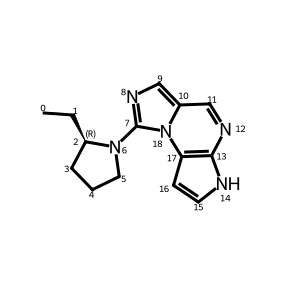 CC[C@@H]1CCCN1c1ncc2cnc3[nH]ccc3n12